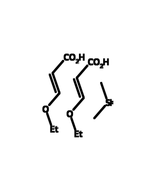 CCOC=CC(=O)O.CCOC=CC(=O)O.C[Si]C